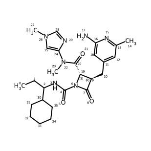 CCC(NC(=O)N1C(=O)[C@H](Cc2cc(C)nc(N)c2)[C@H]1C(=O)N(C)c1cn(C)cn1)C1CCCCC1